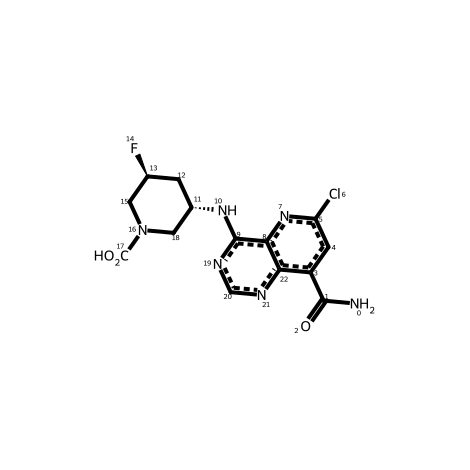 NC(=O)c1cc(Cl)nc2c(N[C@H]3C[C@H](F)CN(C(=O)O)C3)ncnc12